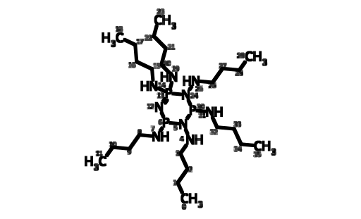 CCCCNN1P(NCCCC)N=P(NCCCC)(NCCCC)N(NCCCC)P1NCCCC